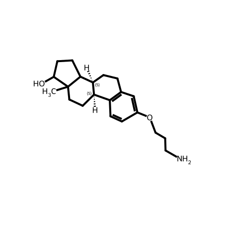 CC12CC[C@@H]3c4ccc(OCCCN)cc4CC[C@@H]3C1CCC2O